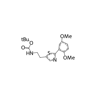 COc1ccc(OC)c(-c2ncc(CCNC(=O)OC(C)(C)C)s2)c1